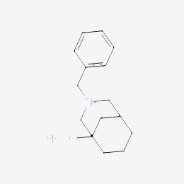 O=C(O)C12C[CH]CC(CN(Cc3ccccc3)C1)C2